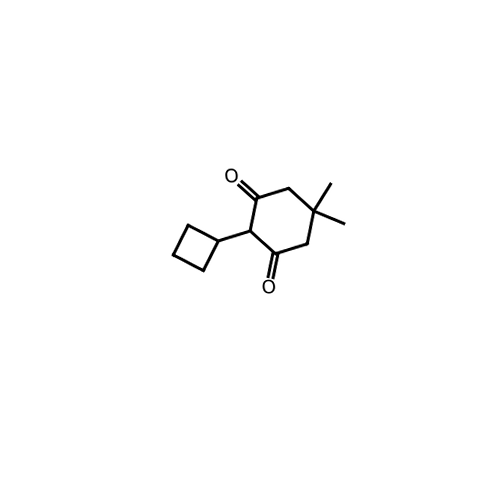 CC1(C)CC(=O)C(C2CCC2)C(=O)C1